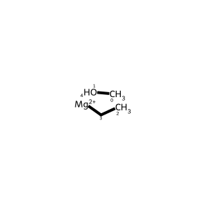 CO.C[CH2][Mg+2]